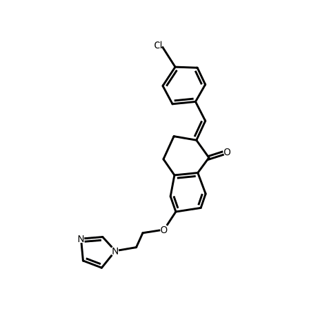 O=C1/C(=C/c2ccc(Cl)cc2)CCc2cc(OCCn3ccnc3)ccc21